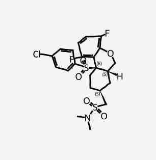 CN(C)S(=O)(=O)C[C@H]1CC[C@]2(S(=O)(=O)c3ccc(Cl)cc3)c3c(F)ccc(F)c3OC[C@@H]2C1